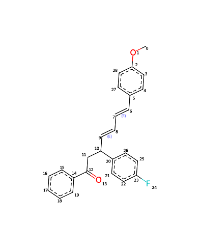 COc1ccc(/C=C/C=C/C(CC(=O)c2ccccc2)c2ccc(F)cc2)cc1